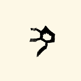 Cc1cccc(C=S)c1O